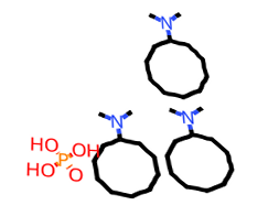 CN(C)C1CCCCCCCCC1.CN(C)C1CCCCCCCCC1.CN(C)C1CCCCCCCCC1.O=P(O)(O)O